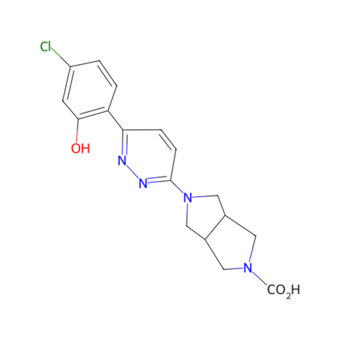 O=C(O)N1CC2CN(c3ccc(-c4ccc(Cl)cc4O)nn3)CC2C1